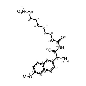 COc1ccc2cc(C(C)C(=O)NC(=O)OCCSSCCO[N+](=O)[O-])ccc2c1